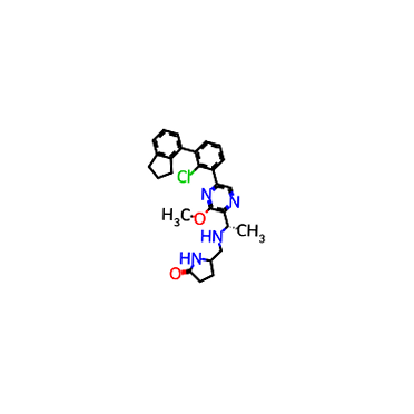 COc1nc(-c2cccc(-c3cccc4c3CCC4)c2Cl)cnc1[C@H](C)NCC1CCC(=O)N1